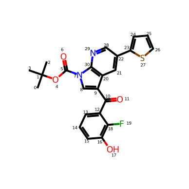 CC(C)(C)OC(=O)n1cc(C(=O)c2cccc(O)c2F)c2cc(-c3cccs3)cnc21